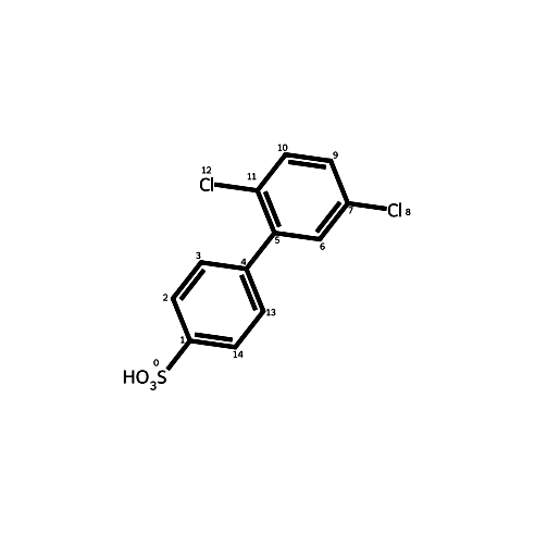 O=S(=O)(O)c1ccc(-c2cc(Cl)ccc2Cl)cc1